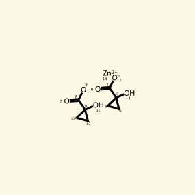 O=C([O-])C1(O)CC1.O=C([O-])C1(O)CC1.[Zn+2]